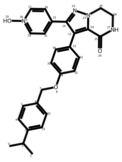 CC(C)c1ccc(COc2ccc(-c3c(-c4cc[n+](O)cc4)nn4c3C(=O)NCC4)cc2)cc1